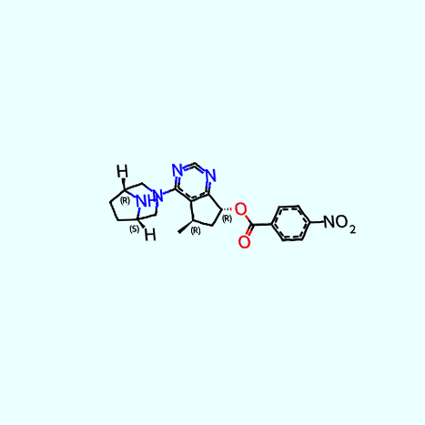 C[C@@H]1C[C@@H](OC(=O)c2ccc([N+](=O)[O-])cc2)c2ncnc(N3C[C@H]4CC[C@@H](C3)N4)c21